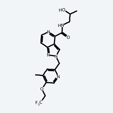 Cc1cc(Cn2cc3c(C(=O)NCC(C)O)nccc3n2)ncc1OCC(F)(F)F